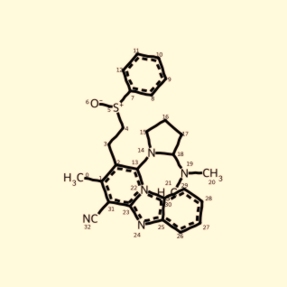 Cc1c(CC[S+]([O-])c2ccccc2)c(N2CCCC2N(C)C)n2c(nc3ccccc32)c1C#N